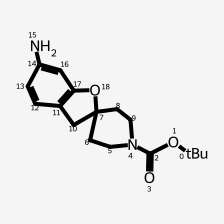 CC(C)(C)OC(=O)N1CCC2(CC1)Cc1ccc(N)cc1O2